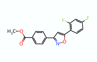 COC(=O)c1ccc(-c2cc(-c3ccc(F)cc3F)on2)cc1